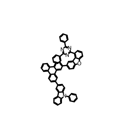 c1ccc(-c2nc(-c3ccccc3)nc(-c3cccc4oc5ccc(-c6ccc7c8ccccc8c8ccc(-c9ccc%10c(c9)c9ccccc9n%10-c9ccccc9)cc8c7c6)cc5c34)n2)cc1